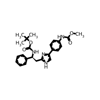 COC(=O)Nc1ccc(-c2c[nH]c(C[C@H](NC(=O)OC(C)(C)C)c3ccccc3)n2)cc1